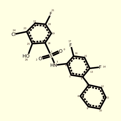 O=S(=O)(Nc1cc(-c2ccccc2)c(F)cc1F)c1cc(F)cc(Cl)c1O